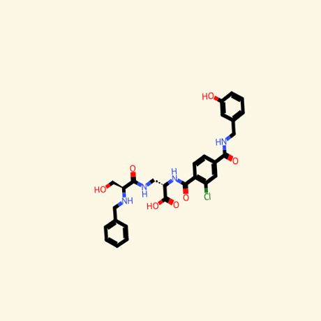 O=C(NCc1cccc(O)c1)c1ccc(C(=O)N[C@@H](CNC(=O)[C@H](CO)NCc2ccccc2)C(=O)O)c(Cl)c1